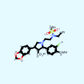 CCCCS(=O)(=O)N(CCN1CC(c2ccc3c(c2)OCO3)C(C(=O)O)C1c1ccc(OC)c(F)c1)CC(C)C